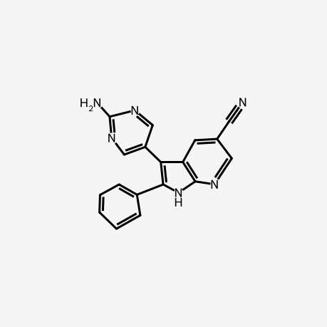 N#Cc1cnc2[nH]c(-c3ccccc3)c(-c3cnc(N)nc3)c2c1